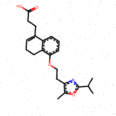 Cc1oc(C(C)C)nc1CCOc1cccc2c1CCC=C2CCC(=O)O